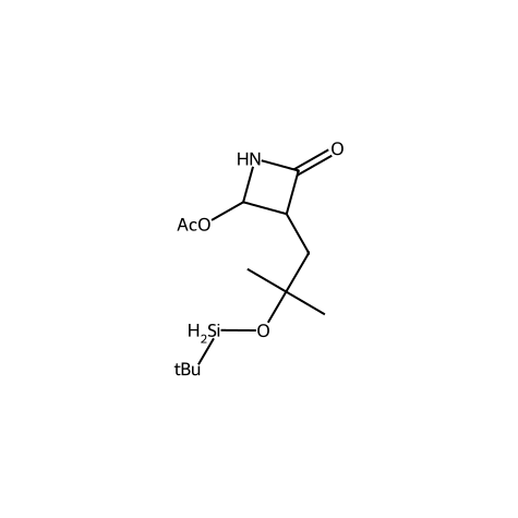 CC(=O)OC1NC(=O)C1CC(C)(C)O[SiH2]C(C)(C)C